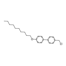 CCCCCCCCCCOc1ccc(-c2ccc(CCl)cc2)cc1